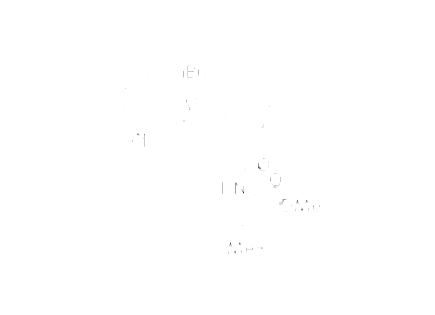 CCCCC(OCc1ccc(C(=O)N[C@@H](CCSC)C(=O)OC)c(-c2ccccc2C)c1)c1cccc(Cl)c1